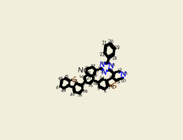 N#Cc1cc(-c2ccc3sc4cncc(-c5nc(-c6ccccc6)nc(-c6ccccc6)n5)c4c3c2)cc(-c2cccc3c2sc2ccccc23)c1